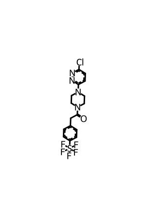 O=C(Cc1ccc(S(F)(F)(F)(F)F)cc1)N1CCN(c2ccc(Cl)nn2)CC1